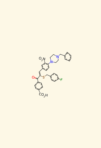 O=C(O)c1ccc(C(=O)C(=Cc2ccc(N3CCN(Cc4ccccc4)CC3)c([N+](=O)[O-])c2)SCc2ccc(F)cc2)cc1